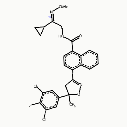 CO/N=C(\CNC(=O)c1ccc(C2=NOC(c3cc(Cl)c(F)c(Cl)c3)(C(F)(F)F)C2)c2ccccc12)C1CC1